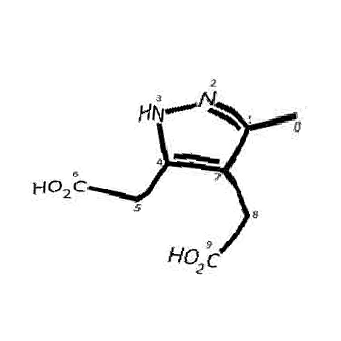 Cc1n[nH]c(CC(=O)O)c1CC(=O)O